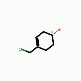 ClCC1=CC[C@H](Br)CC1